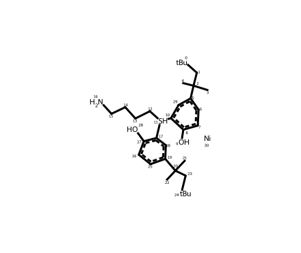 CC(C)(C)CC(C)(C)c1ccc(O)c([SH](CCCCN)c2cc(C(C)(C)CC(C)(C)C)ccc2O)c1.[Ni]